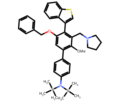 COc1c(-c2ccc(N([Si](C)(C)C)[Si](C)(C)C)cc2)[c]c(OCc2ccccc2)c(-c2csc3ccccc23)c1CN1CCCC1